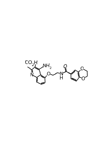 Cc1nc2cccc(OCCNC(=O)c3ccc4c(c3)OCCO4)c2c(N)c1C(=O)O